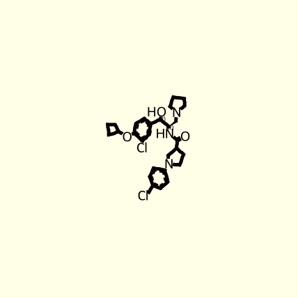 O=C(N[C@H](CN1CCCC1)[C@H](O)c1ccc(OC2CCC2)c(Cl)c1)C1CCN(c2ccc(Cl)cc2)C1